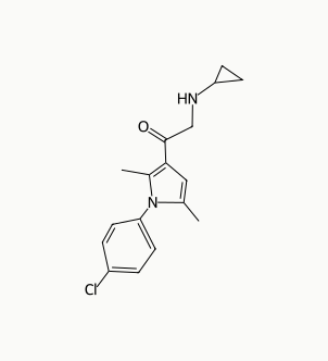 Cc1cc(C(=O)CNC2CC2)c(C)n1-c1ccc(Cl)cc1